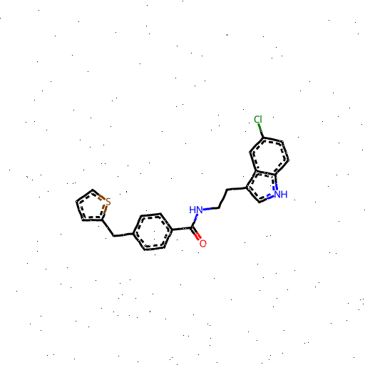 O=C(NCCc1c[nH]c2ccc(Cl)cc12)c1ccc(Cc2cccs2)cc1